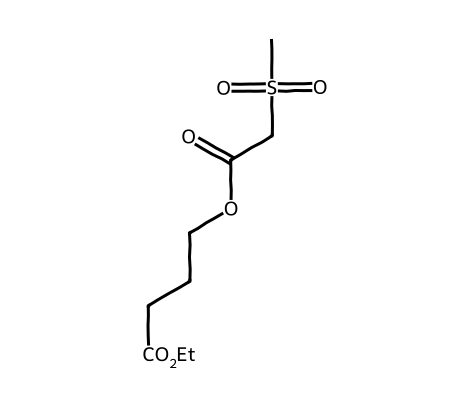 CCOC(=O)CCCOC(=O)CS(C)(=O)=O